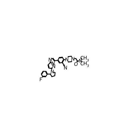 CN(C)C(=O)CN1CCN(c2ccc(-c3cnc4ccc(N5CCCC5c5cccc(F)c5)nn34)cc2C#N)CC1